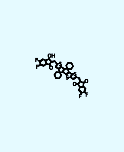 O=C1C(=Cc2cc3sc4c(c3s2)C2(CCCCC2)C2=C4C3(CCCCC3)c3cc(/C=C4\C(=O)c5cc(F)c(F)cc5C4O)sc32)C(=O)c2cc(F)c(F)cc21